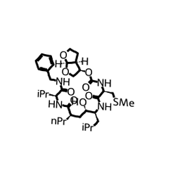 CCC[C@H](C[C@H](O)[C@H](CC(C)C)NC(=O)[C@H](CSC)NC(=O)O[C@H]1CO[C@H]2OCC[C@H]21)C(=O)N[C@H](C(=O)NCc1ccccc1)C(C)C